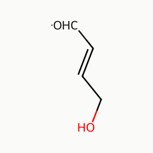 O=[C]C=CCO